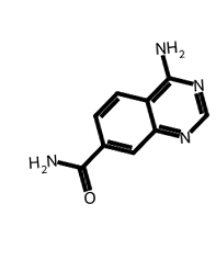 NC(=O)c1ccc2c(N)ncnc2c1